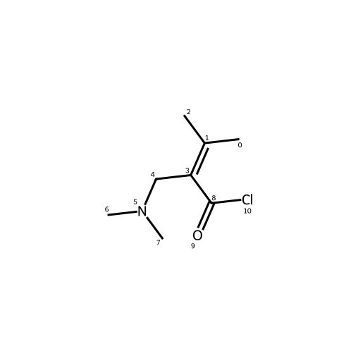 CC(C)=C(CN(C)C)C(=O)Cl